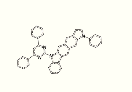 c1ccc(-c2cc(-c3ccccc3)nc(-n3c4ccccc4c4cc5cc6c(ccn6-c6ccccc6)cc5cc43)n2)cc1